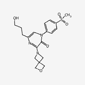 CS(=O)(=O)c1ccc(-n2cc(CCCO)nc(N3CC4(COC4)C3)c2=O)cc1